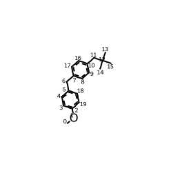 COc1ccc(Cc2ccc(CC(C)(C)C)cc2)cc1